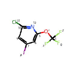 FC(F)(F)Oc1cc(I)cc(Cl)n1